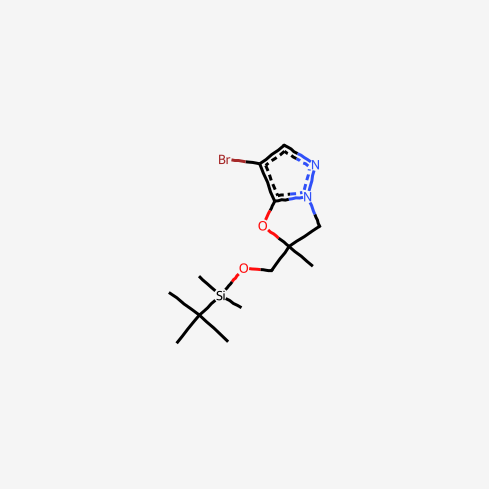 CC1(CO[Si](C)(C)C(C)(C)C)Cn2ncc(Br)c2O1